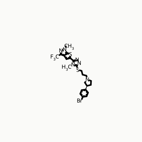 Cn1c(SCCCN2CC[C@@H](c3ccc(Br)cc3)C2)nnc1-c1cc2c(C(F)(F)F)nn(C)c2s1